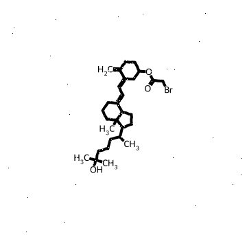 C=C1CCC(OC(=O)CBr)CC1=CC=C1CCCC2(C)C1CCC2C(C)CCCC(C)(C)O